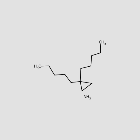 CCCCCC1(CCCCC)CC1.N